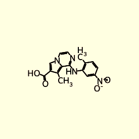 Cc1ccc([N+](=O)[O-])cc1Nc1nccn2cc(C(=O)O)c(C)c12